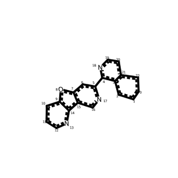 c1ccc2c(-c3cc4oc5cccnc5c4cn3)nccc2c1